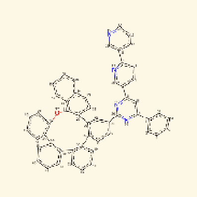 c1ccc(-c2cc(-c3ccc(-c4cccnc4)nc3)nc(-c3ccc4c(c3)-c3ccc5ccccc5c3Oc3ccccc3-c3ccccc3-c3ccccc3-4)n2)cc1